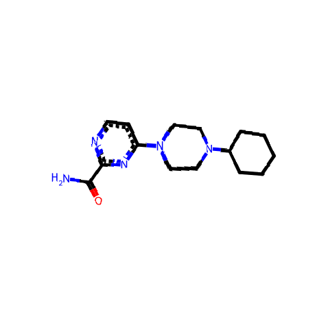 NC(=O)c1n[c]cc(N2CCN(C3CCCCC3)CC2)n1